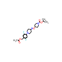 CC(=O)OCc1cc(F)c(N2CCC(=NOC3CCN(C(=O)OC(C)C)CC3)CC2)cc1F